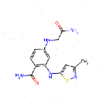 Cc1cc(Nc2cc(NCC(N)=O)ccc2C(N)=O)sn1